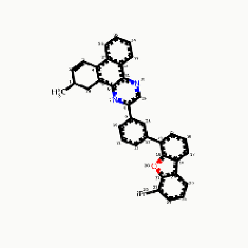 CC1C=Cc2c(c3nc(-c4cccc(-c5cccc6c5oc5c(C(C)C)cccc56)c4)cnc3c3ccccc23)C1